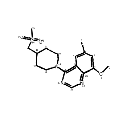 COc1cc(F)cc2c(N3CCC(CS(C)(=N)=O)CC3)ncnc12